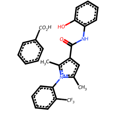 Cc1cc(C(=O)Nc2ccccc2O)c(C)n1-c1ccccc1C(F)(F)F.O=C(O)c1ccccc1